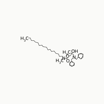 CCCCCCCCCCCCCCCCCCN(C)C(=O)OCC(C)(O)CN(Cc1ccccc1)Cc1ccccc1